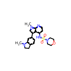 CN1CCc2ccc(-c3cn(C)c4nccc(NS(=O)(=O)N5CCOCC5)c34)cc21